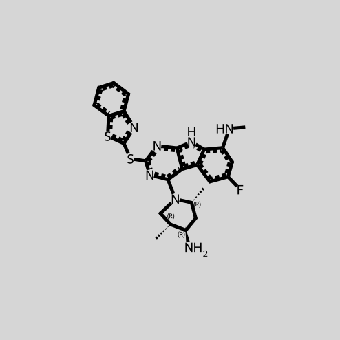 CNc1cc(F)cc2c1[nH]c1nc(Sc3nc4ccccc4s3)nc(N3C[C@@H](C)[C@H](N)C[C@H]3C)c12